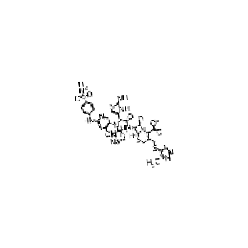 Cn1nnnc1SCC1=C(C(=O)[O-])N2C(=O)[C@@H](NC(=O)C(c3csc(=N)[nH]3)N(C(N)=O)c3cnc(Nc4ccc(S(N)(=O)=O)cc4)nc3O)[C@@H]2SC1.[Na+]